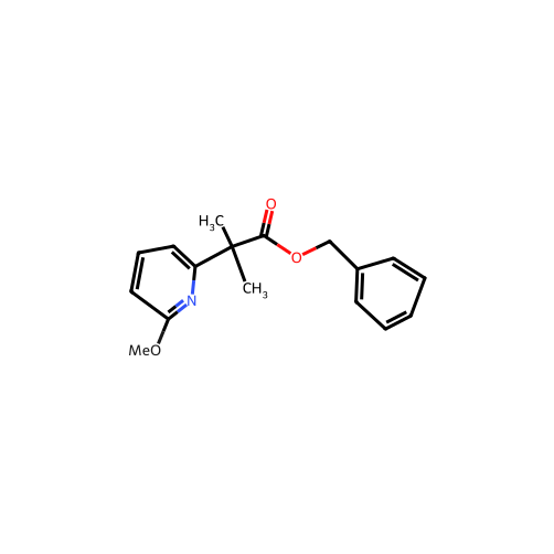 COc1cccc(C(C)(C)C(=O)OCc2ccccc2)n1